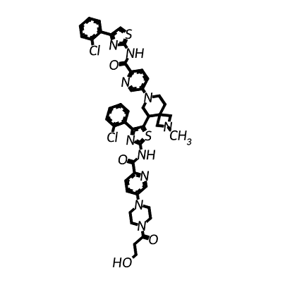 CN1CC2(CCN(c3ccc(C(=O)Nc4nc(-c5ccccc5Cl)cs4)nc3)CC2c2sc(NC(=O)c3ccc(N4CCN(C(=O)CCO)CC4)cn3)nc2-c2ccccc2Cl)C1